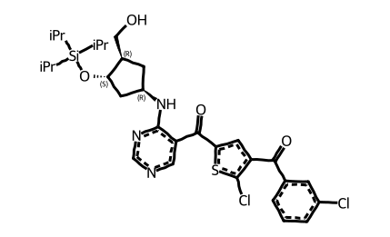 CC(C)[Si](O[C@H]1C[C@H](Nc2ncncc2C(=O)c2cc(C(=O)c3cccc(Cl)c3)c(Cl)s2)C[C@@H]1CO)(C(C)C)C(C)C